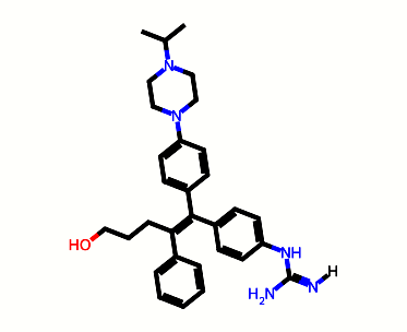 [H]/N=C(/N)Nc1ccc(C(=C(CCCO)c2ccccc2)c2ccc(N3CCN(C(C)C)CC3)cc2)cc1